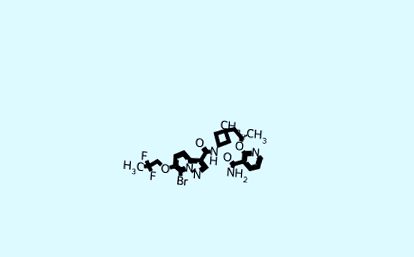 C[C@@H](C[C@]1(C)C[C@@H](NC(=O)c2cnn3c(Br)c(OCC(C)(F)F)ccc23)C1)Oc1ncccc1C(N)=O